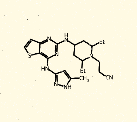 CCC1CC(Nc2nc(Nc3cc(C)[nH]n3)c3sccc3n2)CC(CC)N1CCC#N